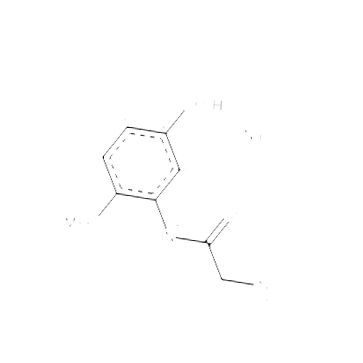 COc1ccc(S(=O)(=O)O)cc1NC(=O)CC(C)=O.[Na]